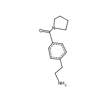 NCCc1ccc(C(=O)N2CCCC2)cc1